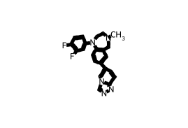 CN1CCN(c2ccc(F)c(F)c2)c2ccc(-c3ccc4nncn4c3)cc2C1